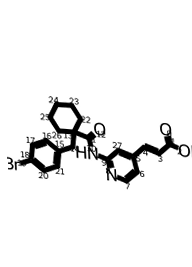 O=C(O)/C=C/c1ccnc(NC(=O)C2(Cc3ccc(Br)cc3)CCCCC2)c1